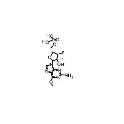 COc1nc(N)nc2c1ncn2C1O[C@H](COP(=O)(O)O)[C@@H](F)[C@@]1(C)O